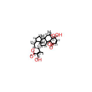 CC1=C(CO)C(=O)O[C@@H]([C@@H](C)C2CC[C@H]3[C@@H]4C[C@H]5O[C@]56[C@@H](O)C=CC(=O)C6(O)C4CC[C@]23C)C1